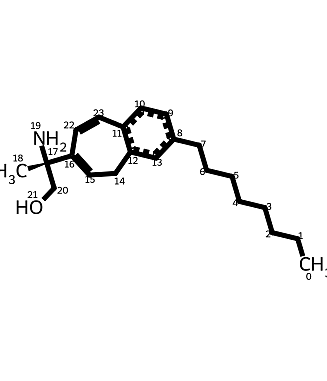 CCCCCCCCc1ccc2c(c1)CC=C([C@@](C)(N)CO)C=C2